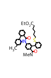 CCOC(=O)CCCCCSc1ccccc1-c1cc(NC(=O)c2ccccc2-c2ccc(C)cc2)ccc1C(=O)NC